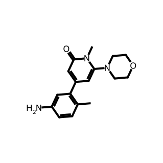 Cc1ccc(N)cc1-c1cc(N2CCOCC2)n(C)c(=O)c1